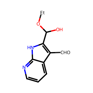 CCOC(O)c1[nH]c2ncccc2c1C=O